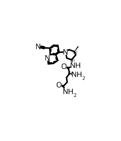 C[C@H]1C[C@@H](NC(=O)[C@@H](N)CCC(N)=O)CN(c2ccc(C#N)c3ncccc23)C1